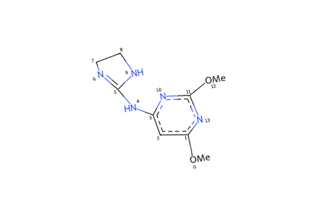 COc1cc(NC2=NCCN2)nc(OC)n1